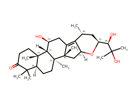 C[C@@H]1C[C@@H]([C@@H](O)C(C)(C)O)O[C@H]2C[C@@]3(C)C(=C12)C[C@H](O)[C@H]1[C@@]2(C)CCC(=O)C(C)(C)[C@@H]2CC[C@@]13C